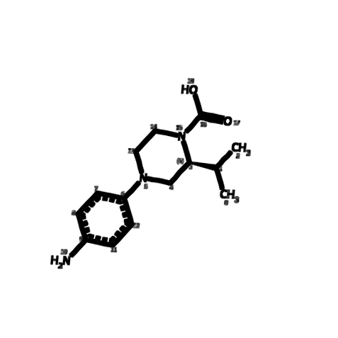 CC(C)[C@H]1CN(c2ccc(N)cc2)CCN1C(=O)O